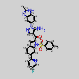 Cc1ccc(S(=O)(=O)n2c(C(=O)c3cnn(-c4ccc5[nH]c(C)nc5c4)c3N)cc3ccc(-c4ccc(F)cn4)cc32)cc1